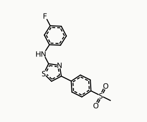 CS(=O)(=O)c1ccc(-c2csc(Nc3cccc(F)c3)n2)cc1